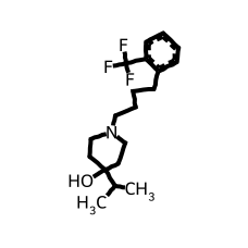 CC(C)C1(O)CCN(CCCCc2ccccc2C(F)(F)F)CC1